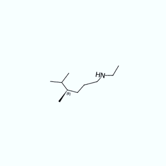 CCNCCC[C@@H](C)C(C)C